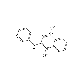 [O-][n+]1nc(Nc2cccnc2)[n+]([O-])c2ccccc21